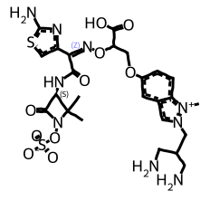 C[n+]1c2ccc(OCC(O/N=C(\C(=O)N[C@@H]3C(=O)N(OS(=O)(=O)[O-])C3(C)C)c3csc(N)n3)C(=O)O)cc2cn1CC(CN)CN